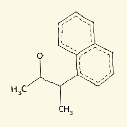 CC([O])C(C)c1cccc2ccccc12